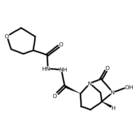 O=C(NNC(=O)[C@@H]1CC[C@@H]2CN1C(=O)N2O)C1CCOCC1